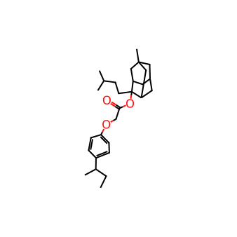 CCC(C)c1ccc(OCC(=O)OC2(CCC(C)C)C3CC4CC2CC(C)(C4)C3)cc1